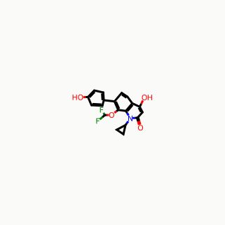 O=c1cc(O)c2ccc(-c3ccc(O)cc3)c(OC(F)F)c2n1C1CC1